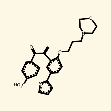 C=C(C(=O)c1ccc(C(=O)O)cc1)c1cc(-c2cccs2)ccc1OCCCN1CCOCC1